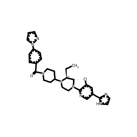 CC[C@H]1CN(c2ncc(-c3ncc[nH]3)cc2Cl)CCN1C1CCN(C(=O)c2ccc(-n3cccn3)cc2)CC1